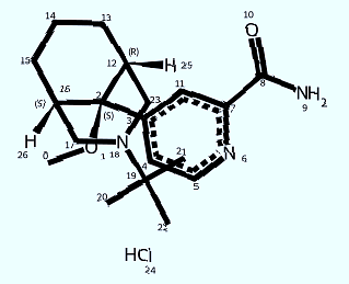 CO[C@]1(c2ccnc(C(N)=O)c2)[C@@H]2CCC[C@H]1CN(C(C)(C)C)C2.Cl